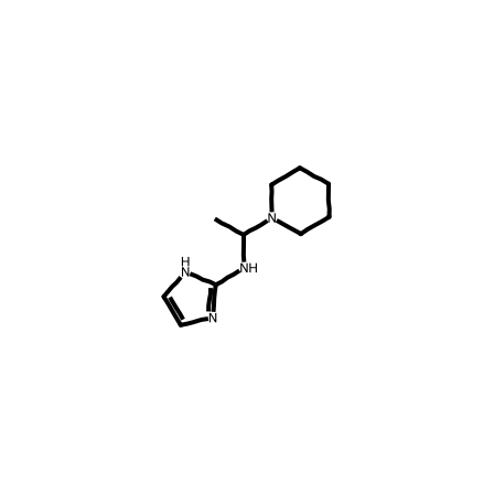 CC(Nc1ncc[nH]1)N1CCCCC1